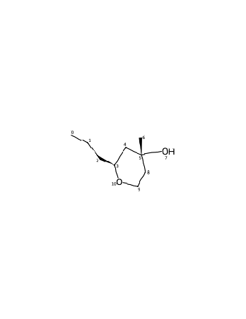 CCC[C@H]1C[C@](C)(O)CCO1